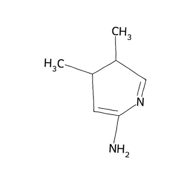 CC1C=NC(N)=CC1C